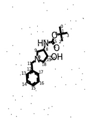 CC(C)(C)OC(=O)N[C@@H]1CN(Cc2ccccc2)C[C@H]1O